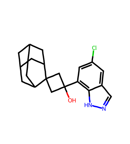 OC1(c2cc(Cl)cc3cn[nH]c23)CC2(C1)C1CC3CC(C1)CC2C3